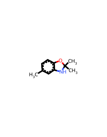 Cc1ccc2c(c1)NC(C)(C)O2